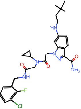 CC(C)(C)CCNc1ccc2c(C(N)=O)nn(CC(=O)N(CC(=O)NCc3cccc(Cl)c3F)C3CC3)c2c1